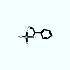 C=CC(NS(C)(=O)=O)c1ccccc1